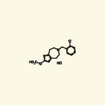 Cl.O=C(O)Oc1cc2c(s1)CCN(Cc1ccccc1Cl)CC2